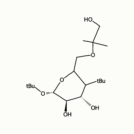 CC(C)(C)O[C@@H]1OC(COC(C)(C)CO)C(C(C)(C)C)[C@H](O)[C@H]1O